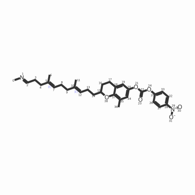 CN=CCC/C(C)=C/CC/C(C)=C/CCC1CCc2cc(OC(=O)Oc3ccc([N+](=O)[O-])cc3)cc(C)c2O1